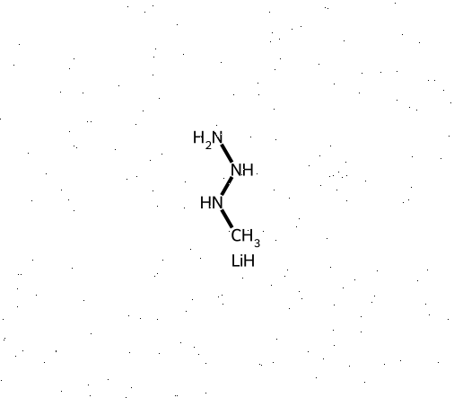 CNNN.[LiH]